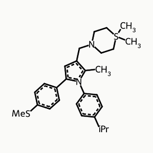 CSc1ccc(-c2cc(CN3CCS(C)(C)CC3)c(C)n2-c2ccc(C(C)C)cc2)cc1